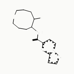 CC1CCCCCCCC1NC(=O)c1ccn2nccc2n1